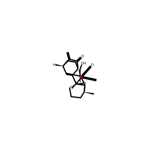 C=C1C(=O)[C@@]23CC[C@@H](CC2[C@@]24CCC[C@@](C)(CO[C@H]2CO)C14)C(=C)C3=O